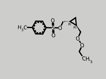 CCOOC[C@@H]1C[C@H]1COS(=O)(=O)c1ccc(C)cc1